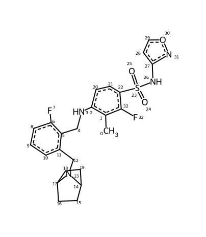 Cc1c(NCc2c(F)cccc2CN2C3CCC2CC3)ccc(S(=O)(=O)Nc2ccon2)c1F